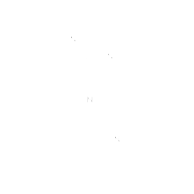 C/C=N/CCN(Cc1ccccn1)Cc1ccc(C)cn1